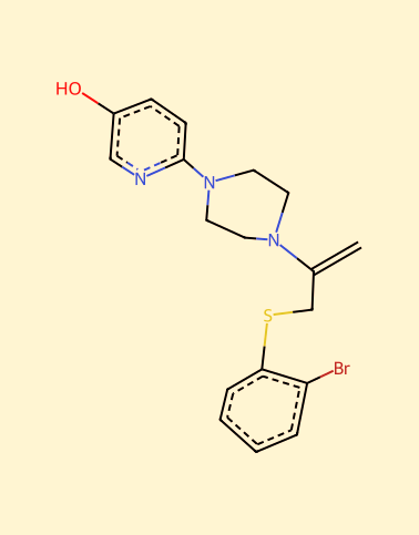 C=C(CSc1ccccc1Br)N1CCN(c2ccc(O)cn2)CC1